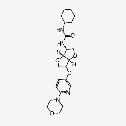 O=C(NC1CCCCC1)N[C@H]1CO[C@H]2[C@@H]1OC[C@@H]2Oc1ccc(N2CCOCC2)nc1